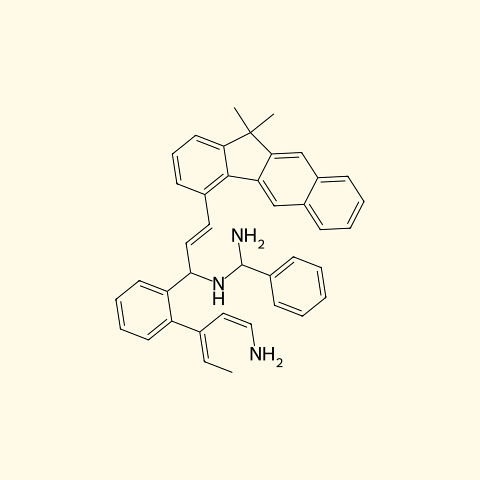 C/C=C(\C=C/N)c1ccccc1C(/C=C/c1cccc2c1-c1cc3ccccc3cc1C2(C)C)NC(N)c1ccccc1